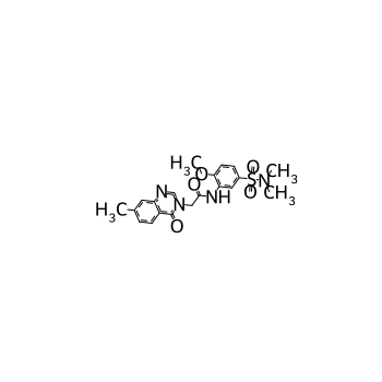 COc1ccc(S(=O)(=O)N(C)C)cc1NC(=O)Cn1cnc2cc(C)ccc2c1=O